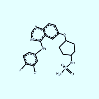 CS(=O)(=O)NC1CCC(Oc2ccc3ncnc(Nc4ccc(F)c(Cl)c4)c3c2)CC1